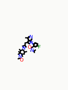 CC(=O)N1CC2(C)C(C)C(N3CC(Cc4cn(-c5ccc(F)cc5C(=O)N(C)C(C)C)c5cncc(C)c45)C3)C(C)CC12C